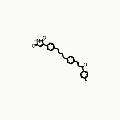 O=C1C=C(c2ccc(CCCCc3ccc(C=CC(=O)c4ccc(F)cc4)cc3)cc2)C(=O)N1